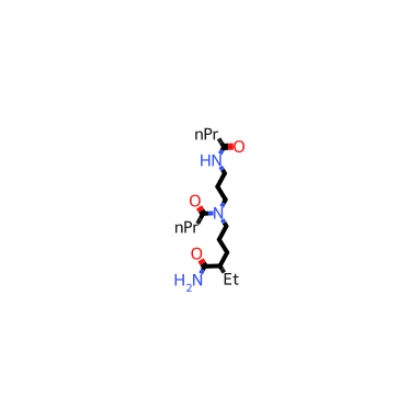 CCCC(=O)NCCCN(CCCC(CC)C(N)=O)C(=O)CCC